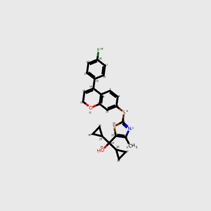 Cc1nc(Sc2ccc3c(c2)OCC=C3c2ccc(F)cc2)sc1C(O)(C1CC1)C1CC1